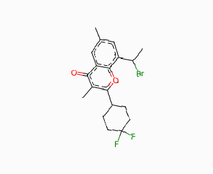 Cc1cc(C(C)Br)c2oc(C3CCC(F)(F)CC3)c(C)c(=O)c2c1